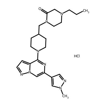 CCCN1CCN(CC2CCN(c3nc(-c4cnn(C)c4)cn4nccc34)CC2)C(=O)C1.Cl